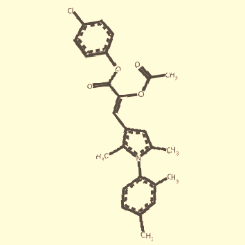 CC(=O)OC(=Cc1cc(C)n(-c2ccc(C)cc2C)c1C)C(=O)Oc1ccc(Cl)cc1